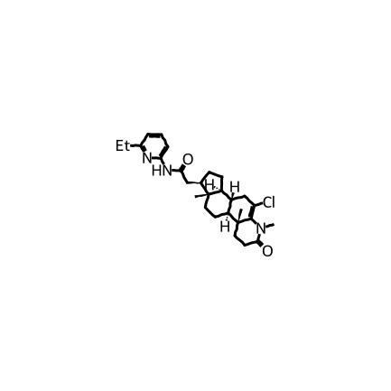 CCc1cccc(NC(=O)C[C@H]2CC[C@H]3[C@@H]4CC(Cl)=C5N(C)C(=O)CC[C@]5(C)[C@H]4CC[C@]23C)n1